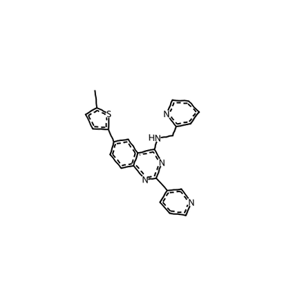 Cc1ccc(-c2ccc3nc(-c4cccnc4)nc(NCc4ccccn4)c3c2)s1